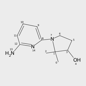 CC1(C)C(O)CCN1c1cccc(N)n1